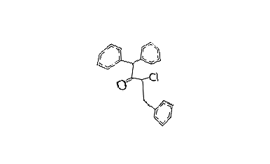 O=C(C(Cl)Cc1ccccc1)C(c1ccccc1)c1ccccc1